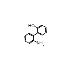 Nc1c[c]ccc1-c1ccccc1O